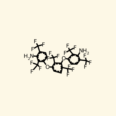 Nc1c(C(F)(F)F)ccc(Oc2ccc(C(F)(F)F)c(Oc3ccc(C(F)(F)F)c(N)c3C(F)(F)F)c2C(F)(F)F)c1C(F)(F)F